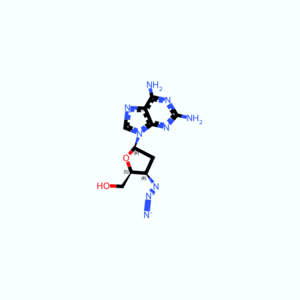 [N-]=[N+]=N[C@@H]1C[C@H](n2cnc3c(N)nc(N)nc32)O[C@@H]1CO